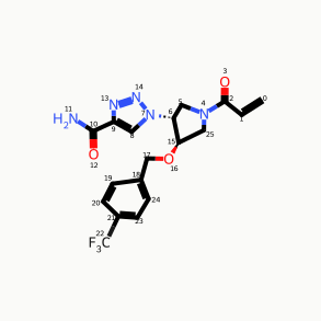 C=CC(=O)N1C[C@@H](n2cc(C(N)=O)nn2)[C@H](OCc2ccc(C(F)(F)F)cc2)C1